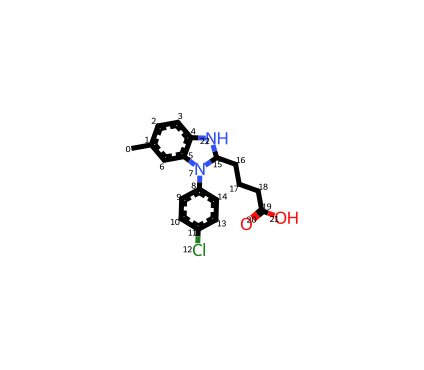 Cc1ccc2c(c1)N(c1ccc(Cl)cc1)C(CCCC(=O)O)N2